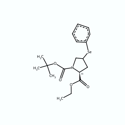 CCOC(=O)[C@@H]1CC([Se]c2ccccc2)CN1C(=O)OC(C)(C)C